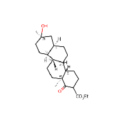 CCOC(=O)C1CC[C@H]2[C@@H]3CC[C@@H]4C[C@](C)(O)CC[C@@H]4[C@H]3CC[C@]2(C)C1=O